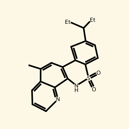 CCC(CC)c1ccc2c(c1)-c1cc(C)c3cccnc3c1NS2(=O)=O